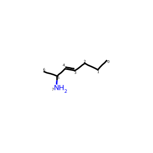 CCCC=CC(C)N